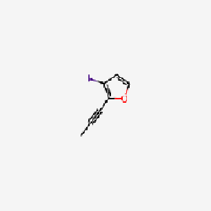 CC#Cc1occc1I